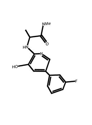 CNC(=O)C(C)Nc1ncc(-c2cccc(F)c2)cc1O